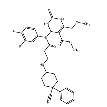 COCC1=C(C(=O)OC)C(N(C(=O)CCNC2CCC(C#N)(c3ccccc3)CC2)c2ccc(F)c(F)c2)NC(=O)N1